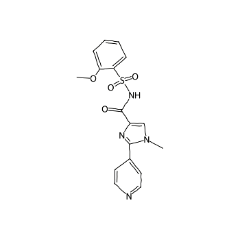 COc1ccccc1S(=O)(=O)NC(=O)c1cn(C)c(-c2ccncc2)n1